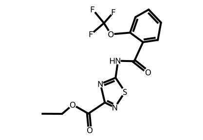 CCOC(=O)c1nsc(NC(=O)c2ccccc2OC(F)(F)F)n1